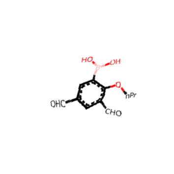 CCCOc1c(C=O)cc(C=O)cc1B(O)O